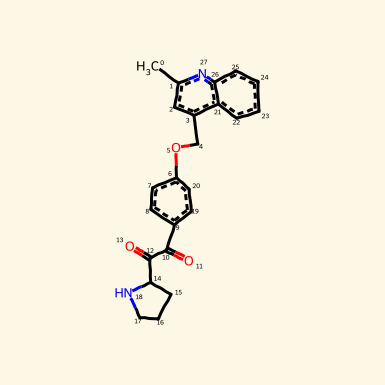 Cc1cc(COc2ccc(C(=O)C(=O)C3CCCN3)cc2)c2ccccc2n1